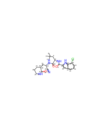 CC(C)(C)CC(NC(=O)c1cc2cccc(Cl)c2[nH]1)C(=O)NC(C#N)C[C@@H]1CCCNC1=O